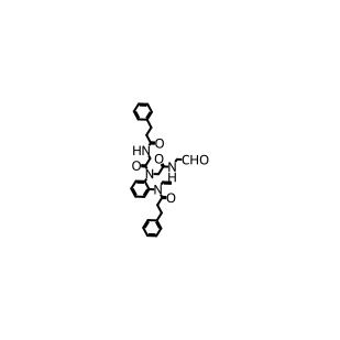 C=CN(C(=O)CCc1ccccc1)c1ccccc1N(CC(=O)NCC=O)C(=O)CNC(=O)CCc1ccccc1